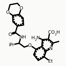 CCc1ccc(OCC(NC(=O)c2ccc3c(c2)OCCO3)C(C)C)c2c(N)c(C(=O)O)c(C)nc12